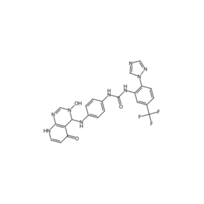 O=C(Nc1ccc(NC2c3c([nH]ccc3=O)N=CN2O)cc1)Nc1cc(C(F)(F)F)ccc1-n1cncn1